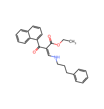 CCOC(=O)C(=CNCCCc1ccccc1)C(=O)c1cccc2ccccc12